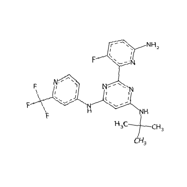 CC(C)(C)Nc1cc(Nc2ccnc(C(F)(F)F)c2)nc(-c2nc(N)ccc2F)n1